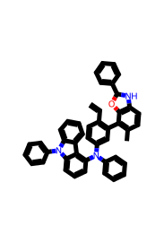 C=Cc1ccc(N(c2ccccc2)c2cccc3c2c2ccccc2n3-c2ccccc2)cc1-c1c(C)ccc2c1OC(c1ccccc1)N2